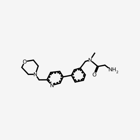 CN(Cc1cccc(-c2ccc(CN3CCOCC3)nc2)c1)C(=O)CN